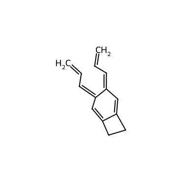 C=C/C=c1/cc2c(c/c1=C/C=C)CC2